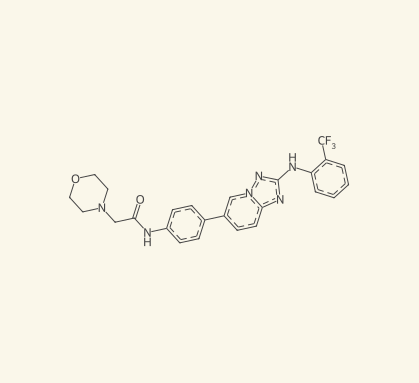 O=C(CN1CCOCC1)Nc1ccc(-c2ccc3nc(Nc4ccccc4C(F)(F)F)nn3c2)cc1